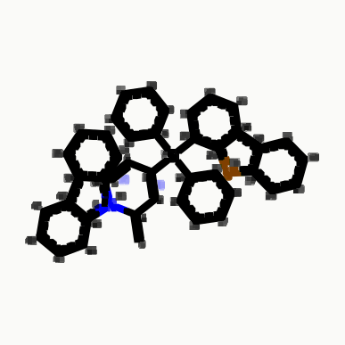 C=C(/C=C(\C=C/C)[Si](c1ccccc1)(c1ccccc1)c1cccc2c1sc1ccccc12)n1c2ccccc2c2ccccc21